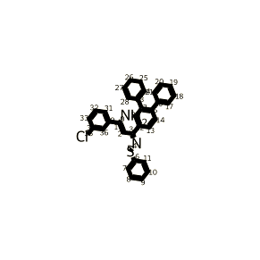 N/C(=C\C(=N/Sc1ccccc1)c1ccc(-c2ccccc2)c(C2=CCCC=C2)c1)c1cccc(Cl)c1